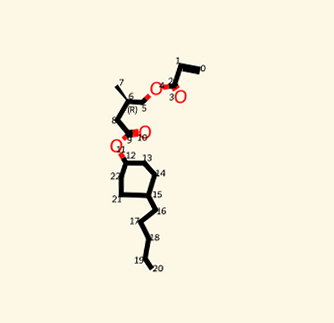 C=CC(=O)OC[C@H](C)CC(=O)OC1CCC(CCCCC)CC1